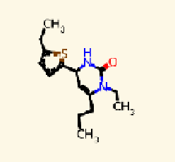 CCCC1=CC(c2ccc(CC)s2)NC(=O)N1CC